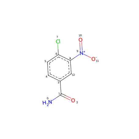 NC(=O)c1ccc(Cl)c([N+](=O)[O-])c1